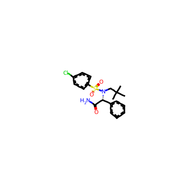 CC(C)(C)CN([C@@H](C(N)=O)c1ccccc1)S(=O)(=O)c1ccc(Cl)cc1